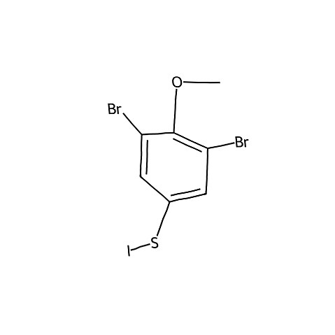 COc1c(Br)cc(SI)cc1Br